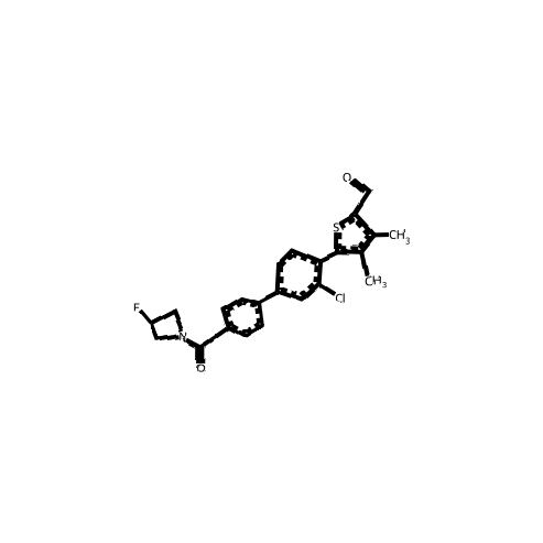 Cc1c(C=O)sc(-c2ccc(-c3ccc(C(=O)N4CC(F)C4)cc3)cc2Cl)c1C